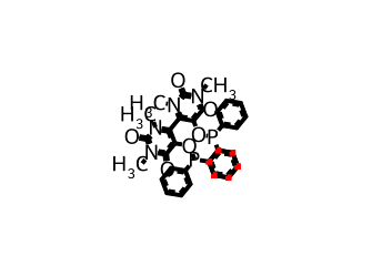 Cn1c(-c2c(OP(c3ccccc3)c3ccccc3)c(=O)n(C)c(=O)n2C)c(OP(c2ccccc2)c2ccccc2)c(=O)n(C)c1=O